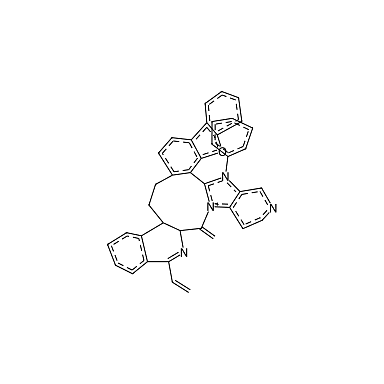 C=CC1=NC2C(=C)[n+]3c(n(-c4ccccc4)c4cnccc43)-c3c(ccc4c3oc3ccccc34)CCC2c2ccccc21